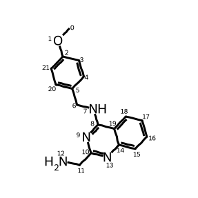 COc1ccc(CNc2nc(CN)nc3ccccc23)cc1